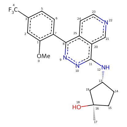 COc1cc(C(F)(F)F)ccc1-c1nnc(N[C@@H]2CC[C@@](C)(O)C2)c2cnccc12